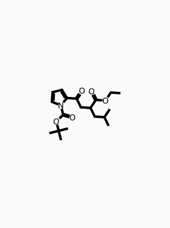 CCOC(=O)C(CC(=O)c1cccn1C(=O)OC(C)(C)C)CC(C)C